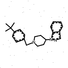 CC(C)(C)c1ccc(CN2CCC(n3ncc4ccccc43)CC2)cc1